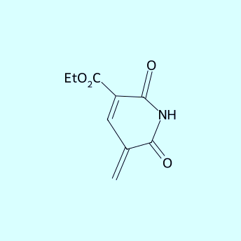 C=C1C=C(C(=O)OCC)C(=O)NC1=O